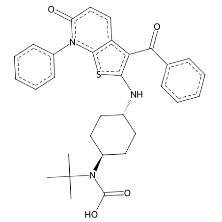 CC(C)(C)N(C(=O)O)[C@H]1CC[C@H](Nc2sc3c(ccc(=O)n3-c3ccccc3)c2C(=O)c2ccccc2)CC1